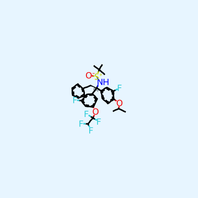 CC(C)Oc1ccc([C@@](Cc2ccccc2)(N[S+]([O-])C(C)(C)C)c2cc(F)cc(OC(F)(F)C(F)F)c2)cc1F